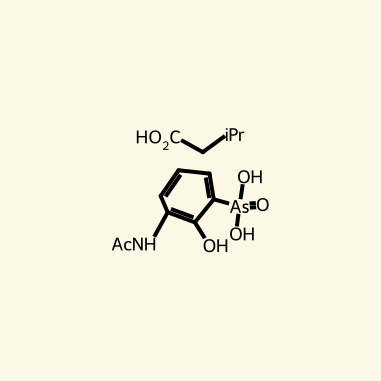 CC(=O)Nc1cccc([As](=O)(O)O)c1O.CC(C)CC(=O)O